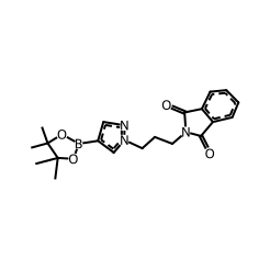 CC1(C)OB(c2cnn(CCCN3C(=O)c4ccccc4C3=O)c2)OC1(C)C